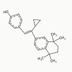 CC1(C)CCC(C)(C)c2cc(C(=Cc3ccc(O)cc3)C3CC3)ccc21